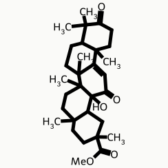 COC(=O)C1(C)CCC2(C)CCC3(C)C4(C)CCC5C(C)(C)C(=O)CCC5(C)C4=CC(=O)C3(O)C2C1